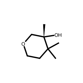 CC1(C)CCOC[C@]1(C)O